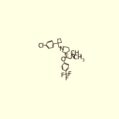 CN(C)C[C@@H](Oc1ccc(C(F)(F)F)cc1)[C@@H]1CCCN(CC2(c3ccc(Cl)cc3)CCC2)C1